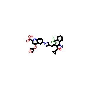 O=C(O)c1cc(OC2COC2)c2cc(N3CC(/C=C/c4c(-c5ccccc5C(F)(F)F)noc4C4CC4)C3)ccc2n1